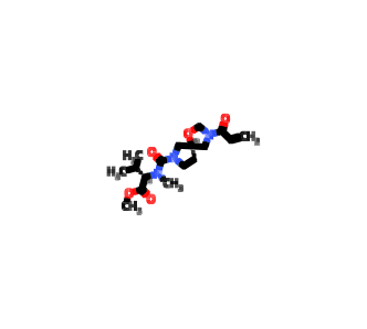 C=CC(=O)N1CO[C@@]2(CCN(C(=O)N(C)[C@H](C(=O)OC)C(C)C)C2)C1